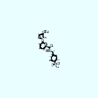 CC(C)(C)c1cnn(-c2cccc(C(=O)NCc3ccc(S(C)(=O)=O)cc3)n2)c1